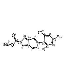 CC(C)(C)OC(=O)n1cc2ccc(-c3c(F)cc(F)cc3Cl)cc2c1